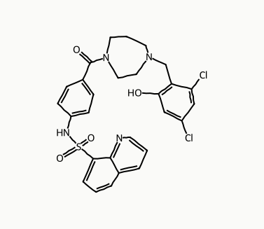 O=C(c1ccc(NS(=O)(=O)c2cccc3cccnc23)cc1)N1CCCN(Cc2c(O)cc(Cl)cc2Cl)CC1